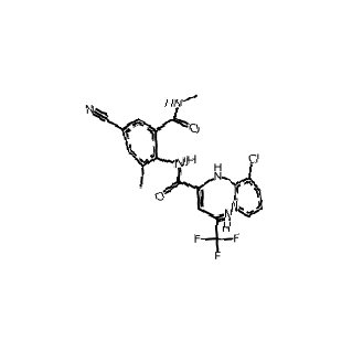 CNC(=O)c1cc(C#N)cc(C)c1NC(=O)/C(=C/C(=N)C(F)(F)F)Nc1ncccc1Cl